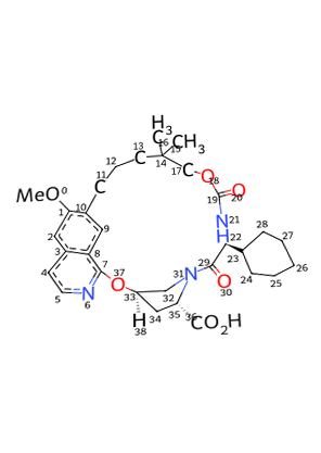 COc1cc2ccnc3c2cc1CCCC(C)(C)COC(=O)N[C@@H](C1CCCCC1)C(=O)N1C[C@@H](C[C@H]1C(=O)O)O3